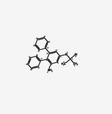 CCC(C)(C)Oc1cc([SiH3])c(-c2ccccc2)c(-c2ccccc2)c1